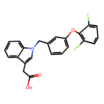 O=C(O)Cc1cn(Cc2cccc(Oc3c(F)cccc3F)c2)c2ccccc12